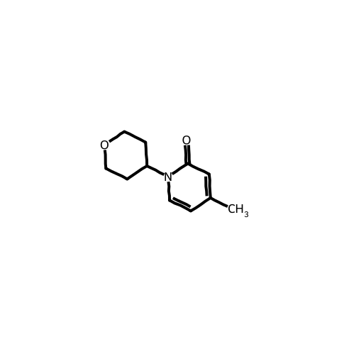 Cc1ccn(C2CCOCC2)c(=O)c1